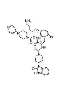 NCCCC[C@H](NC(=O)[C@@H](Cc1cc(Br)ccc1Br)NC(=O)N1CCC(n2c(=O)[nH]c3ccccc32)CC1)C(=O)N1CCN(c2ccncc2)CC1